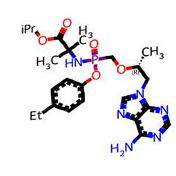 CCc1ccc(OP(=O)(CO[C@H](C)Cn2cnc3c(N)ncnc32)NC(C)(C)C(=O)OC(C)C)cc1